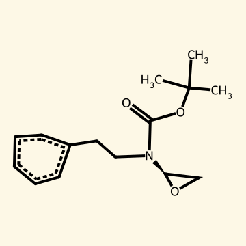 CC(C)(C)OC(=O)N(CCc1ccccc1)[C@H]1CO1